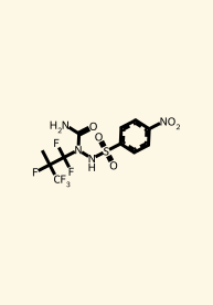 CC(F)(C(F)(F)F)C(F)(F)N(NS(=O)(=O)c1ccc([N+](=O)[O-])cc1)C(N)=O